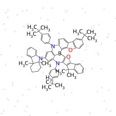 CC(C)(C)c1ccc(N2c3cc(N4c5ccccc5C5(C)CCCCC45C)cc4c3B(c3oc5c(c3N4c3ccc(C(C)(C)C)cc3)C(C)(C)c3ccccc3-5)c3c2ccc2c3oc3ccc(C(C)(C)C)cc32)cc1